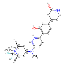 CN(c1ccc(-c2ccc(C3CCNC(=O)C3)cc2O)nn1)[C@@H]1C[C@H]2CC(F)(F)[C@@H](C1)N2C(=O)O